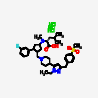 CCn1nc(Cc2ccc(S(C)(=O)=O)cc2)cc1C1CCN(CC2CC(N(C)[C@H](CC(C)C)C(=O)O)CC2c2cccc(F)c2)CC1.Cl.Cl.Cl